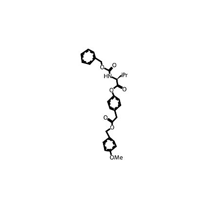 COc1ccc(COC(=O)Cc2ccc(OC(=O)[C@@H](NC(=O)OCc3ccccc3)C(C)C)cc2)cc1